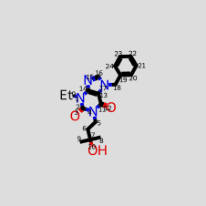 CCn1c(=O)n(CCC(C)(C)O)c(=O)c2c1ncn2Cc1ccccc1